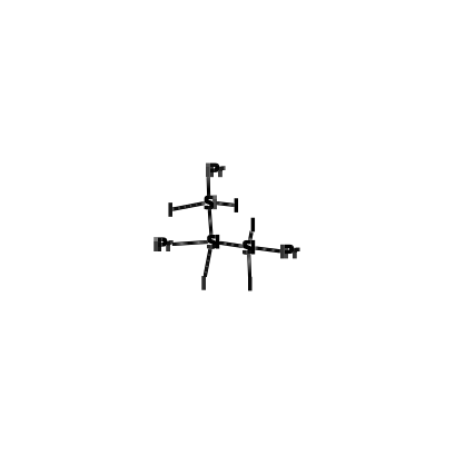 CC(C)[Si](I)(I)[Si](I)(C(C)C)[Si](I)(I)C(C)C